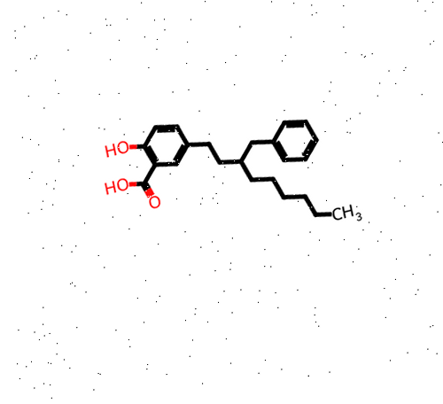 CCCCCCC(CCc1ccc(O)c(C(=O)O)c1)Cc1ccccc1